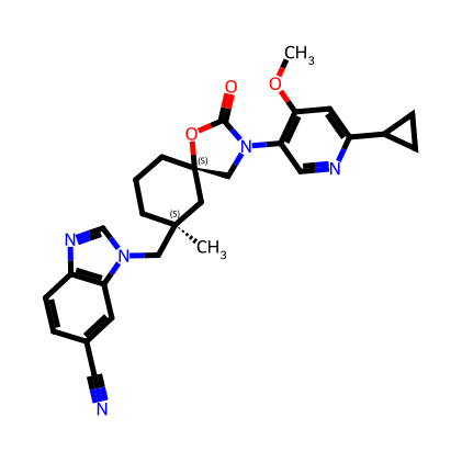 COc1cc(C2CC2)ncc1N1C[C@@]2(CCC[C@](C)(Cn3cnc4ccc(C#N)cc43)C2)OC1=O